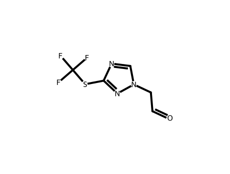 O=CCn1cnc(SC(F)(F)F)n1